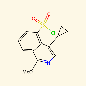 COc1ncc(C2CC2)c2c(S(=O)(=O)Cl)cccc12